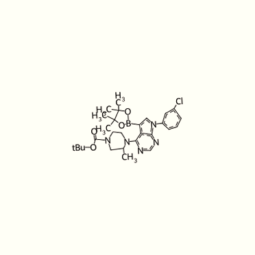 CC1CN(C(=O)OC(C)(C)C)CCN1c1ncnc2c1c(B1OC(C)(C)C(C)(C)O1)cn2-c1cccc(Cl)c1